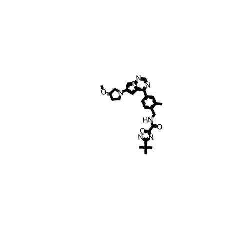 CO[C@@H]1CCN(c2cc3c(-c4ccc(CNC(=O)c5nc(C(C)(C)C)no5)c(C)c4)ncnn3c2)C1